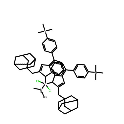 CCC[SiH](C)[Zr]([Cl])([Cl])([CH]1C(CC23CC4CC(CC(C4)C2)C3)=Cc2c(-c3ccc([Si](C)(C)C)cc3)cccc21)[CH]1C(CC23CC4CC(CC(C4)C2)C3)=Cc2c(-c3ccc([Si](C)(C)C)cc3)cccc21